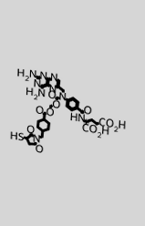 Nc1nc(N)c2nc(CN(C(=O)OCOC(=O)C3CCC(CN4C(=O)CC(S)C4=O)CC3)c3ccc(C(=O)N[C@@H](CCC(=O)O)C(=O)O)cc3)cnc2n1